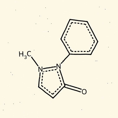 Cn1ccc(=O)n1-c1ccccc1